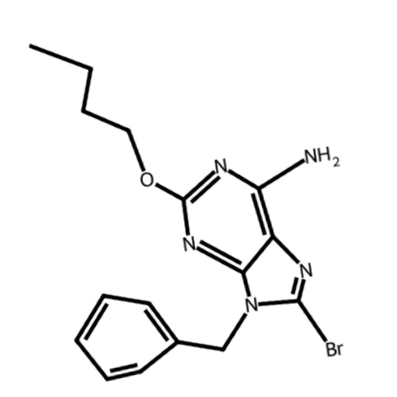 CCCCOc1nc(N)c2nc(Br)n(Cc3ccccc3)c2n1